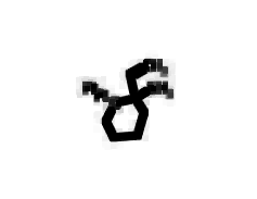 C=CC1([SiH3])CCCCO1.[Pt].[Pt]